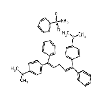 CN(C)c1ccc(C(=CCC=C(c2ccccc2)c2ccc(N(C)C)cc2)c2ccccc2)cc1.NS(=O)(=O)c1ccccc1